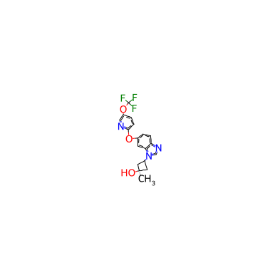 C[C@]1(O)C[C@@H](n2cnc3ccc(Oc4ccc(OC(F)(F)F)cn4)cc32)C1